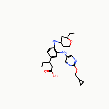 CCC(CC(=O)O)c1ccc(NC2CCO[C@H](CC)C2)c(Nc2cnc(OCC3CC3)nc2)c1